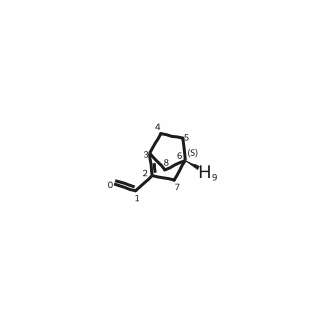 C=CC1=C2CC[C@H](C1)C2